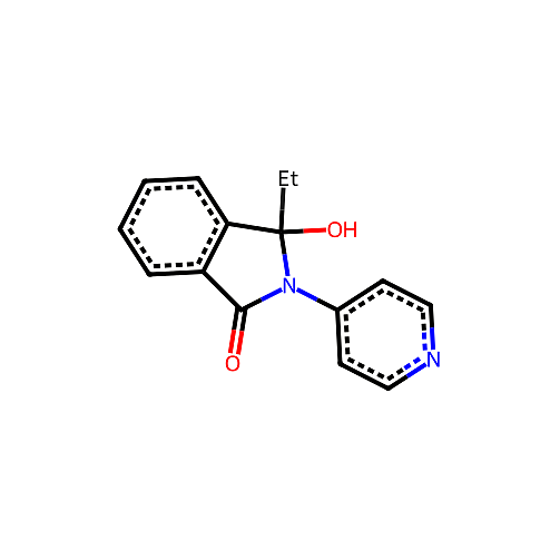 CCC1(O)c2ccccc2C(=O)N1c1ccncc1